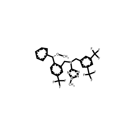 CO[C@@H](c1ccccc1)c1ccc(C(F)(F)F)cc1CN(Cc1cc(C(F)(F)F)cc(C(F)(F)F)c1)c1nnn(C)n1